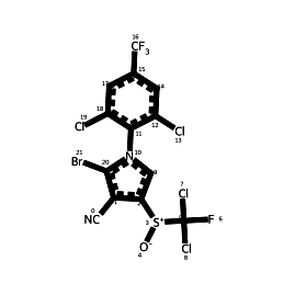 N#Cc1c([S+]([O-])C(F)(Cl)Cl)cn(-c2c(Cl)cc(C(F)(F)F)cc2Cl)c1Br